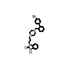 O=c1[nH]c2ccccc2n1CCCN1CCN(Cc2ccccc2-c2ccc(Br)cc2)CC1